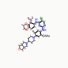 COc1cc(N2CCC(N3CC4COCC4C3)CC2)c(C)cc1Nc1ncc(Br)c(Nc2ccc3c(c2P(C)C)OCCO3)n1